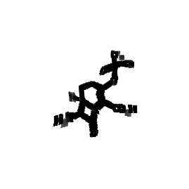 N[C@@H]1C(=O)N2C(C(=O)O)=C(OS(=O)(=O)C(F)(F)F)CC[C@H]12